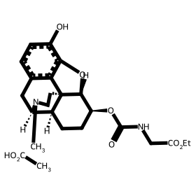 CC(=O)O.CCOC(=O)CNC(=O)O[C@H]1CC[C@H]2[C@H]3Cc4ccc(O)c5c4[C@@]2(CCN3C)[C@@H]1O5